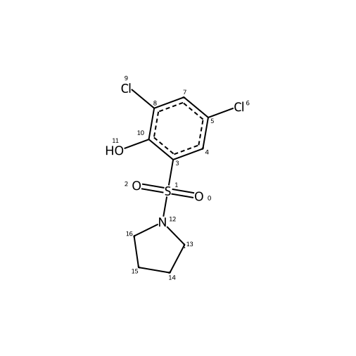 O=S(=O)(c1cc(Cl)cc(Cl)c1O)N1[CH]CCC1